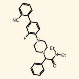 CCN(CC)C(=O)C(c1ccccc1)N1CCN(c2ccc(-c3ccccc3C#N)cc2F)CC1